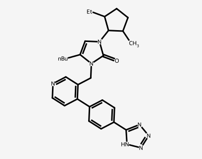 CCCCc1cn(C2C(C)CCC2CC)c(=O)n1Cc1cnccc1-c1ccc(-c2nnn[nH]2)cc1